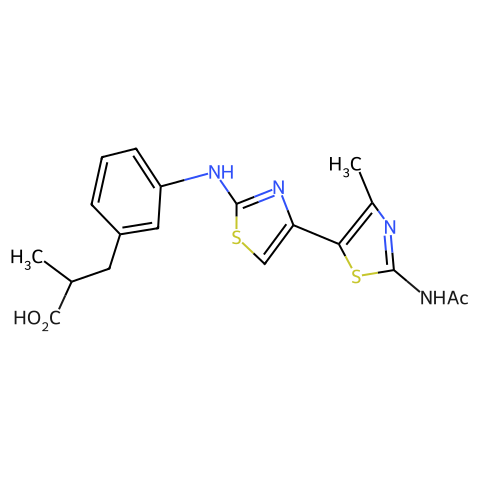 CC(=O)Nc1nc(C)c(-c2csc(Nc3cccc(CC(C)C(=O)O)c3)n2)s1